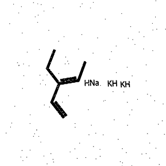 C=CC(=CC)CC.[KH].[KH].[NaH]